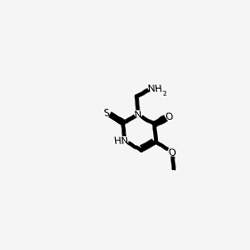 COc1c[nH]c(=S)n(CN)c1=O